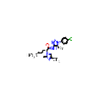 Cc1nc(C(F)(F)F)cn1[C@@H](CCCS(=O)(=O)O)C(=O)Nc1nnn(-c2ccc(Cl)cc2)c1C(C)C